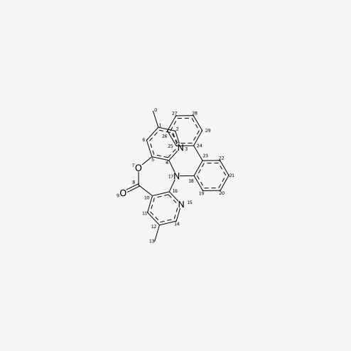 Cc1cnc2c(c1)OC(=O)c1cc(C)cnc1N2c1ccccc1-c1ccccc1